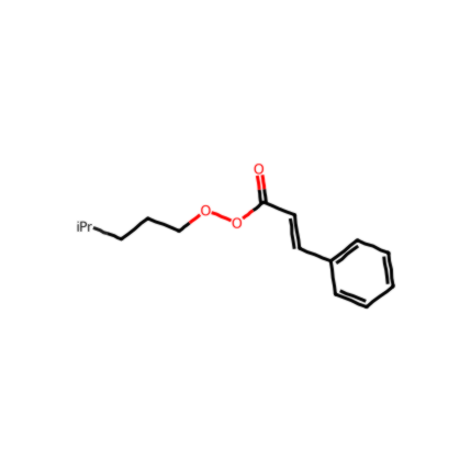 CC(C)CCCOOC(=O)C=Cc1ccccc1